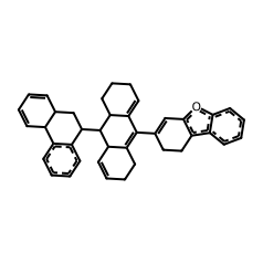 C1=CC2CC(C3C4C=CCCC4=C(C4=Cc5oc6ccccc6c5CC4)C4=CCCCC43)c3ccccc3C2C=C1